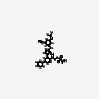 CNS(=O)(=O)CCNc1ccc(-c2ccccc2)cc1-c1ccn(Cc2cc(C#N)cc(OC(C)C)c2)n1